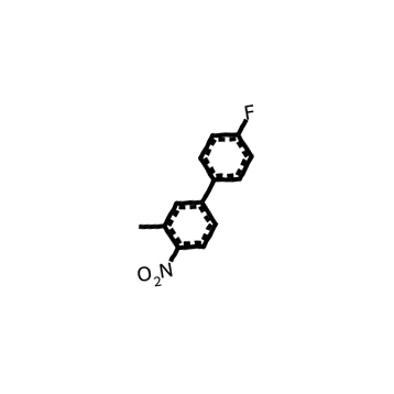 Cc1cc(-c2ccc(F)cc2)ccc1[N+](=O)[O-]